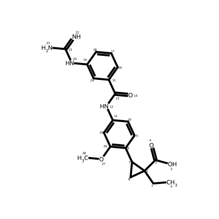 CCC1(C(=O)O)CC1c1ccc(NC(=O)c2cccc(NC(=N)N)c2)cc1OC